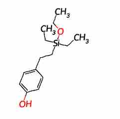 CCO[Si](CC)(CC)CCc1ccc(O)cc1